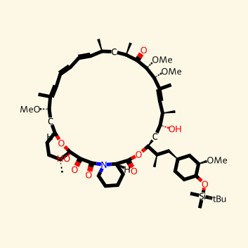 CO[C@H]1C[C@@H]2CC[C@@H](C)[C@@](O)(O2)C(=O)C(=O)N2CCCC[C@H]2C(=O)O[C@H]([C@H](C)C[C@@H]2CCC(O[Si](C)(C)C(C)(C)C)[C@H](OC)C2)C[C@@H](O)[C@H](C)/C=C(\C)[C@@H](OC)[C@@H](OC)C(=O)[C@H](C)C[C@H](C)/C=C/C=C/C=C/1C